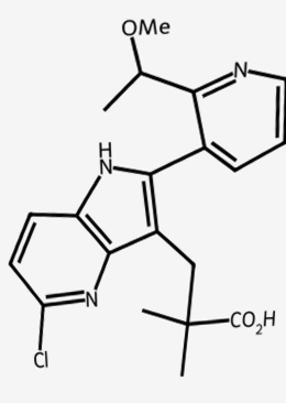 COC(C)c1ncccc1-c1[nH]c2ccc(Cl)nc2c1CC(C)(C)C(=O)O